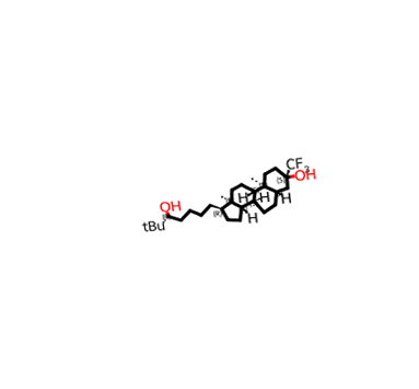 CC(C)(C)[C@H](O)CCCC[C@@H]1CC[C@H]2[C@@H]3CC[C@H]4C[C@](O)(C(F)(F)F)CC[C@]4(C)[C@H]3CC[C@]12C